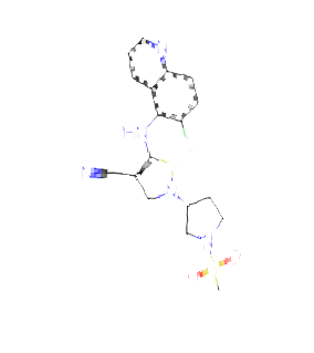 CS(=O)(=O)N1CC[C@H](N2CC(C#N)=C(Nc3c(Cl)ccc4ncccc34)S2)C1